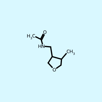 CC(=O)NCC1COCC1C